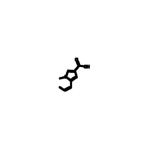 C/C=C\c1cc(C(=O)O)cn1C